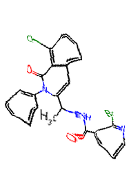 CC(NC(=O)c1cccnc1Br)c1cc2cccc(Cl)c2c(=O)n1-c1ccccc1